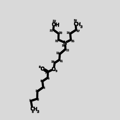 CCCCCCCC(=O)OCCCCN(CCCC)CCCO